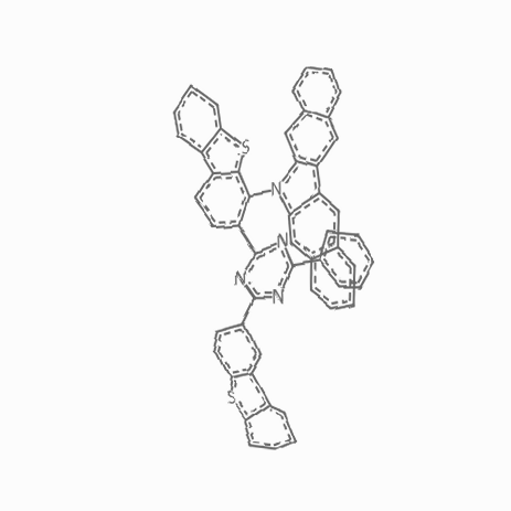 c1ccc(-c2nc(-c3ccc4sc5ccccc5c4c3)nc(-c3ccc4c(sc5ccccc54)c3-n3c4cc5ccccc5cc4c4cc5ccccc5cc43)n2)cc1